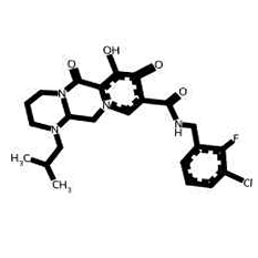 CC(C)CN1CCCN2C(=O)c3c(O)c(=O)c(C(=O)NCc4cccc(Cl)c4F)cn3CC12